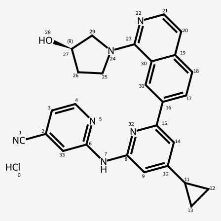 Cl.N#Cc1ccnc(Nc2cc(C3CC3)cc(-c3ccc4ccnc(N5CC[C@@H](O)C5)c4c3)n2)c1